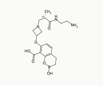 C[C@@H](CN1CC(Oc2ccc3c(c2C(=O)O)OB(O)CC3)C1)C(=O)NCCN